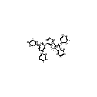 c1ccc(-c2cc(-c3cccc4c3sc3c5ccccc5n(-c5ccccc5)c43)nc(-c3ccccc3)n2)cc1